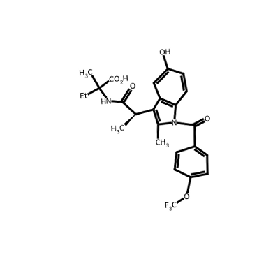 CCC(C)(NC(=O)[C@H](C)c1c(C)n(C(=O)c2ccc(OC(F)(F)F)cc2)c2ccc(O)cc12)C(=O)O